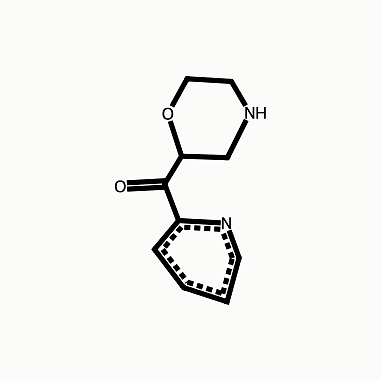 O=C(c1ccccn1)C1CNCCO1